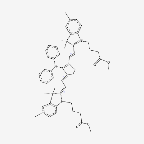 COC(=O)CCCN1/C(=C/C=C2\CCC(/C=C/C3=[N+](CCCC(=O)OC)c4ccc(C)cc4C3(C)C)=C2N(c2ccccc2)c2ccccc2)C(C)(C)c2cc(C)ccc21